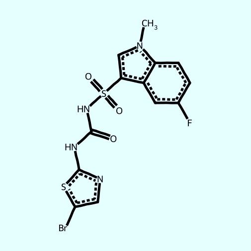 Cn1cc(S(=O)(=O)NC(=O)Nc2ncc(Br)s2)c2cc(F)ccc21